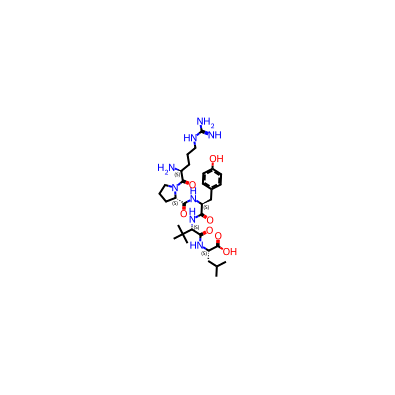 CC(C)C[C@H](NC(=O)[C@@H](NC(=O)[C@H](Cc1ccc(O)cc1)NC(=O)[C@@H]1CCCN1C(=O)[C@@H](N)CCCNC(=N)N)C(C)(C)C)C(=O)O